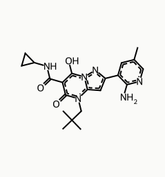 Cc1cnc(N)c(-c2cc3n(CC(C)(C)C)c(=O)c(C(=O)NC4CC4)c(O)n3n2)c1